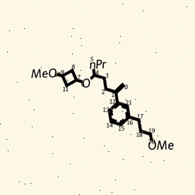 C=C(CCC(CCC)OC1CC(OC)C1)c1cccc(CCCOC)c1